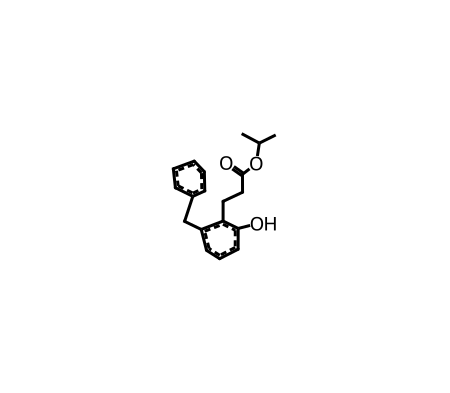 CC(C)OC(=O)CCc1c(O)cccc1Cc1ccccc1